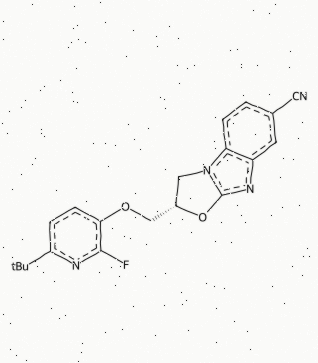 CC(C)(C)c1ccc(OC[C@@H]2Cn3c(nc4cc(C#N)ccc43)O2)c(F)n1